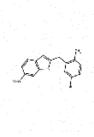 COc1ccc2cc(Cc3cc(Br)ccc3C)sc2c1